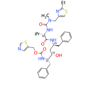 CCc1nc(CN(C)C(=O)N[C@H](C(=O)N[C@@H](Cc2ccccc2)C[C@H](O)[C@H](Cc2ccccc2)NC(=O)OCc2cncs2)C(C)C)cs1